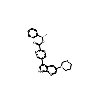 C[C@H](NC(=O)c1ncc(-c2c[nH]c3ncc(N4CCCOC4)cc23)cn1)c1ccccc1